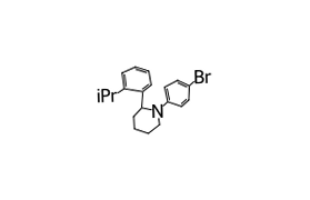 CC(C)c1ccccc1C1CCCCN1c1ccc(Br)cc1